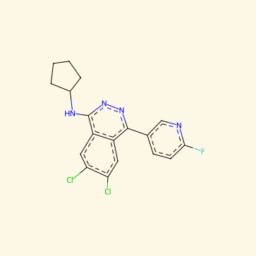 Fc1ccc(-c2nnc(NC3CCCC3)c3cc(Cl)c(Cl)cc23)cn1